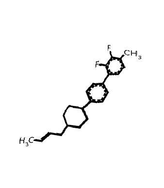 CC=CCC1CCC(c2ccc(-c3ccc(C)c(F)c3F)cc2)CC1